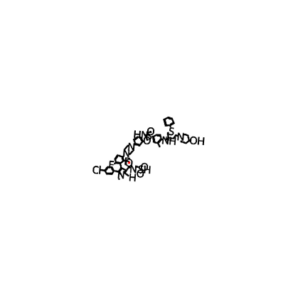 Cc1cc(S(=O)(=O)Nc2ccc(N3CCN(c4ccc(F)c(-c5c(C(=O)NC[SH](=O)=O)c(C)n(C)c5-c5ccc(Cl)cc5)c4F)CC3)cc2)ccc1N[C@H](CCN1CCC(O)CC1)CSc1ccccc1